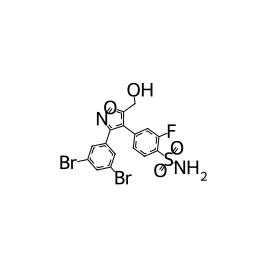 NS(=O)(=O)c1ccc(-c2c(-c3cc(Br)cc(Br)c3)noc2CO)cc1F